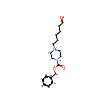 O=[C]CCCCCN1CCN(C(=O)OCc2ccccc2)CC1